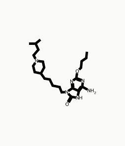 CCCCOc1nc(N)c2[nH]c(=O)n(CCCCCC3CCN(CCC(C)C)CC3)c2n1